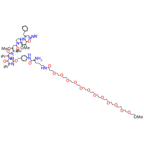 CC[C@H](C)[C@@H]([C@@H](CC(=O)N1CCC[C@H]1[C@H](OC)[C@@H](C)C(=O)N[C@H](CN=[N+]=[N-])Cc1ccccc1)OC)N(C)C(=O)[C@@H](NC(=O)[C@H](C(C)C)N(C)C(=O)OCc1ccc(NC(=O)[C@@H](N)CCCCNC(=O)CCOCCOCCOCCOCCOCCOCCOCCOCCOCCOCCOCCOCCOC)cc1)C(C)C